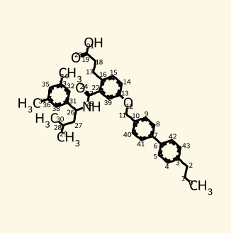 CCCc1ccc(-c2ccc(COc3ccc(CCC(=O)O)c(C(=O)NC(CC(C)C)c4cc(C)cc(C)c4)c3)cc2)cc1